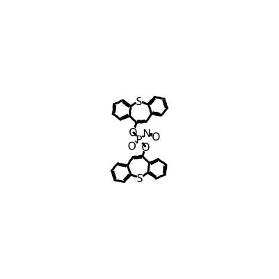 O=NP(=O)(OC1=Cc2ccccc2Sc2ccccc21)OC1=Cc2ccccc2Sc2ccccc21